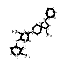 Nc1nc(N2CCC3(CC2)CN(c2ccccc2)C[C@H]3N)cnc1Sc1ccnc(N)c1Cl